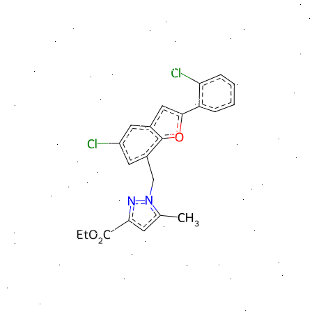 CCOC(=O)c1cc(C)n(Cc2cc(Cl)cc3cc(-c4ccccc4Cl)oc23)n1